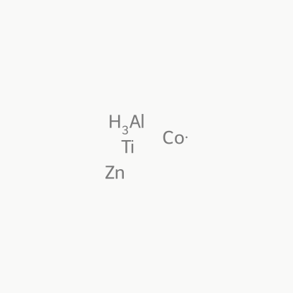 [AlH3].[Co].[Ti].[Zn]